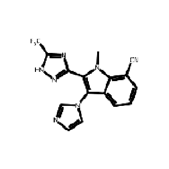 Cn1c(-c2n[nH]c(C(F)(F)F)n2)c(-n2ccnc2)c2cccc(C#N)c21